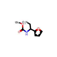 CC(C)(C)OC(=O)NC(C[N+](=O)[O-])c1ccco1